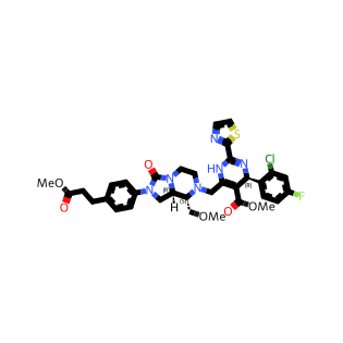 COC[C@@H]1[C@H]2CN(c3ccc(CCC(=O)OC)cc3)C(=O)N2CCN1CC1=C(C(=O)OC)[C@H](c2ccc(F)cc2Cl)N=C(c2nccs2)N1